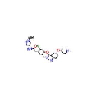 Cc1cc(CC(=O)Nc2cnn(C(C)(C)C)c2)c(F)cc1Oc1ncnc2ccc(OC3CCN(C)CC3)cc12